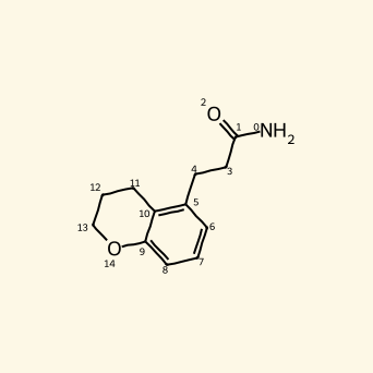 NC(=O)CCc1cccc2c1CCCO2